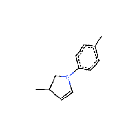 Cc1ccc(N2C=CC(C)C2)cc1